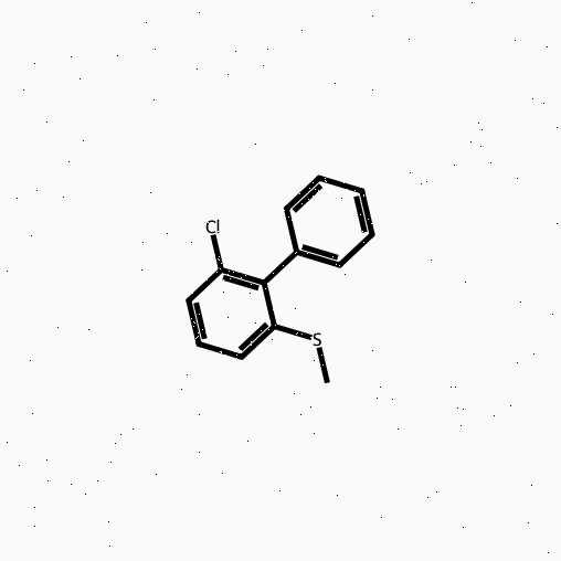 CSc1cccc(Cl)c1-c1ccccc1